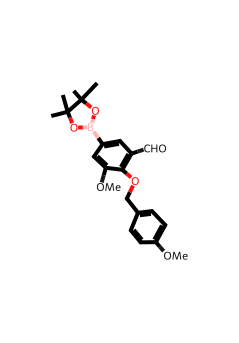 COc1ccc(COc2c(C=O)cc(B3OC(C)(C)C(C)(C)O3)cc2OC)cc1